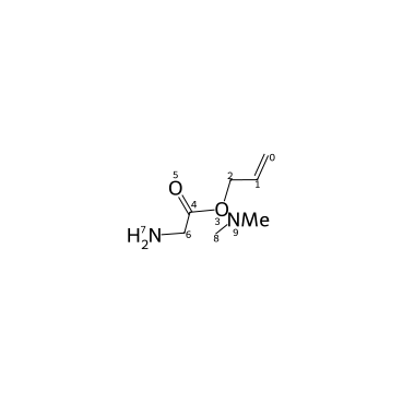 C=CCOC(=O)CN.CNC